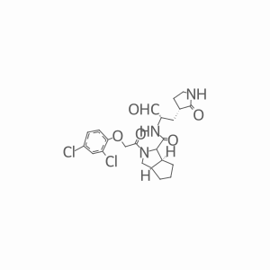 O=C[C@H](C[C@@H]1CCNC1=O)NC(=O)C1[C@H]2CCC[C@H]2CN1C(=O)COc1ccc(Cl)cc1Cl